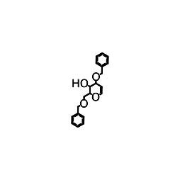 OC1C(OCc2ccccc2)C=COC1COCc1ccccc1